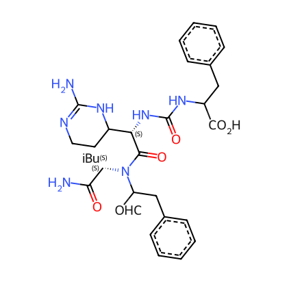 CC[C@H](C)[C@@H](C(N)=O)N(C(=O)[C@@H](NC(=O)NC(Cc1ccccc1)C(=O)O)C1CCN=C(N)N1)C(C=O)Cc1ccccc1